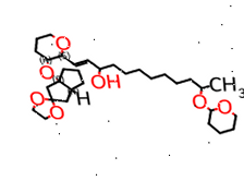 CC(CCCCCCCC(O)C=C[C@@H]1OCCC[C@H]1O[C@]12CCC[C@@H]1CC1(C2)OCCO1)OC1CCCCO1